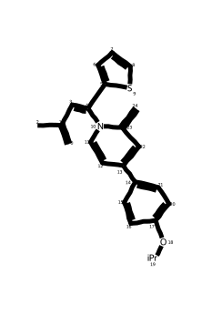 C=C(C)/C=C(/c1cccs1)N1C=CC(c2ccc(OC(C)C)cc2)=CC1=C